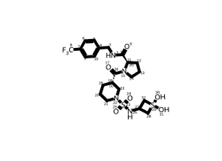 O=C(NCc1ccc(C(F)(F)F)cc1)[C@H]1CCCN1C(=O)[C@H]1CCCN(S(=O)(=O)NC2CS(O)(O)C2)C1